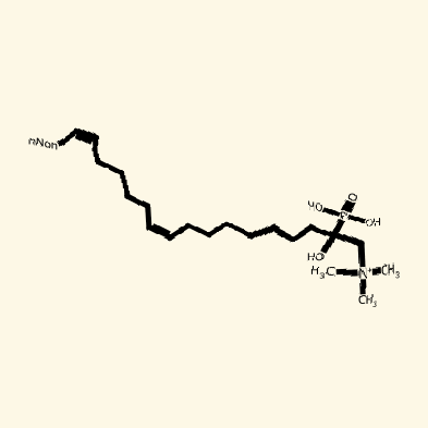 CCCCCCCCC/C=C\CCCC/C=C\CCCCCCCC(O)(C[N+](C)(C)C)P(=O)(O)O